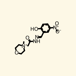 C[N+]1(CC(=O)NN=Cc2cc([N+](=O)[O-])ccc2O)CCOCC1